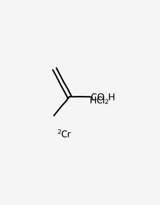 C=C(C)C(=O)O.Cl.[2Cr]